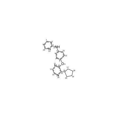 c1ccc(Nc2ccc(Oc3nccnc3C3CCCC3)cc2)nc1